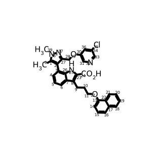 Cc1c(-c2cccc3c(CCCOc4cccc5ccccc45)c(C(=O)O)[nH]c23)c(COc2cncc(Cl)c2)nn1C